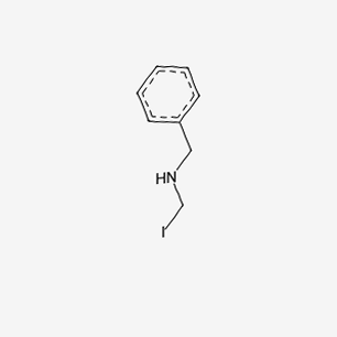 ICNCc1ccccc1